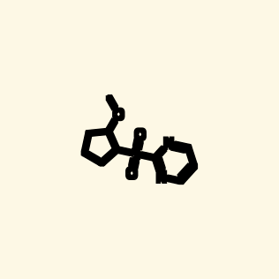 COC1CCCC1S(=O)(=O)c1ncccn1